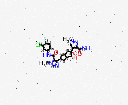 Cn1cc(C2(O)CC3CC(c4ncn(C)c4C(=O)Nc4ccc(F)c(Cl)c4)CC3C2)c(C(N)=O)n1